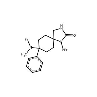 CCCN1C(=O)NCC12CCC(c1ccccc1)(N(C)CC)CC2